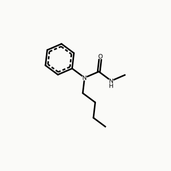 CCCCN(C(=O)NC)c1ccccc1